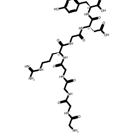 N=C(N)NCCC[C@H](NC(=O)CNC(=O)CNC(=O)CNC(=O)CN)C(=O)NCC(=O)N[C@@H](CC(=O)O)C(=O)N[C@@H](Cc1ccc(O)cc1)C(=O)O